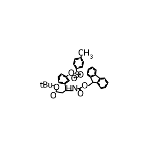 Cc1ccc(S(=O)(=O)Oc2cccc(C(CNC(=O)OCC3c4ccccc4-c4ccccc43)CC(=O)OC(C)(C)C)c2)cc1